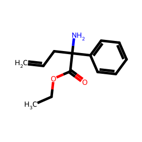 C=CCC(N)(C(=O)OCC)c1ccccc1